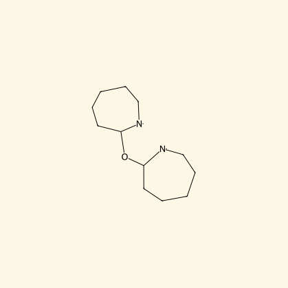 C1CC[N]C(OC2CCCCC[N]2)CC1